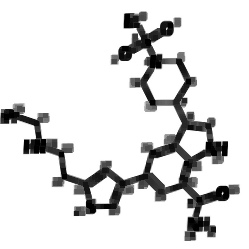 CCS(=O)(=O)N1CCC(c2c[nH]c3c(C(N)=O)cc(-c4csc(CCNCC(C)C)c4)cc23)CC1